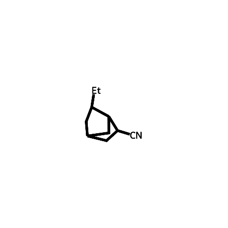 [CH2]CC1CC2CC(C#N)C1C2